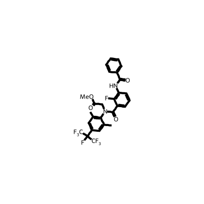 COC(=O)CN(C(=O)c1cccc(NC(=O)c2ccccc2)c1F)c1c(C)cc(C(F)(C(F)(F)F)C(F)(F)F)cc1C